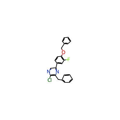 Fc1cc(-c2cnc(Cl)c(Cc3ccccc3)n2)ccc1OCc1ccccc1